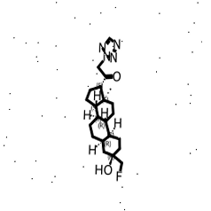 C[C@]12CC[C@H]3[C@@H](CC[C@@H]4C[C@@](O)(CF)CC[C@@H]43)[C@@H]1CC[C@@H]2C(=O)Cn1ncnn1